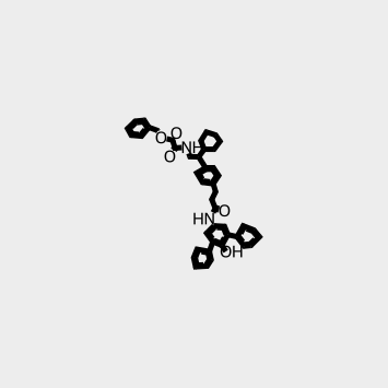 O=C(CCc1ccc(C(CNC(=O)C(=O)OCc2ccccc2)C2CCCCC2)cc1)Nc1cc(-c2ccccc2)c(O)c(-c2ccccc2)c1